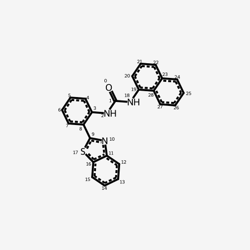 O=C(Nc1ccccc1-c1nc2ccccc2s1)Nc1cccc2ccccc12